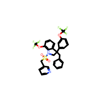 O=S(=O)(Cc1cccnc1)NCC(Cc1ccccc1)(c1cccc(OC(F)(F)F)c1)c1cccc(OC(F)(F)F)c1